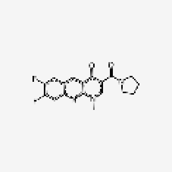 Cn1cc(C(=O)N2CCCC2)c(=O)c2cc3cc(F)c(F)cc3nc21